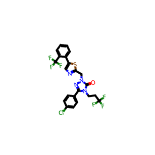 O=c1n(Cc2ncc(-c3ccccc3C(F)(F)F)s2)nc(-c2ccc(Cl)cc2)n1CCC(F)(F)F